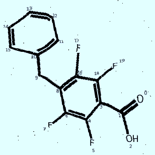 O=C(O)c1c(F)c(F)c(Cc2ccccc2)c(F)c1F